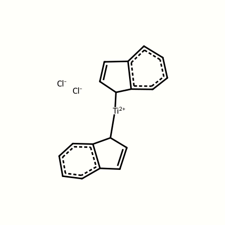 C1=C[CH]([Ti+2][CH]2C=Cc3ccccc32)c2ccccc21.[Cl-].[Cl-]